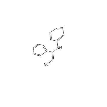 N#CC=C(Nc1ccccc1)c1ccccc1